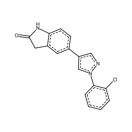 O=C1Cc2cc(-c3cnn(-c4ccccc4Cl)c3)ccc2N1